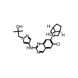 CC(C)(O)Cn1cc(Nc2ncc3cc(Cl)c(N4C[C@H]5CC[C@@H](C4)[C@@]5(C)O)cc3n2)cn1